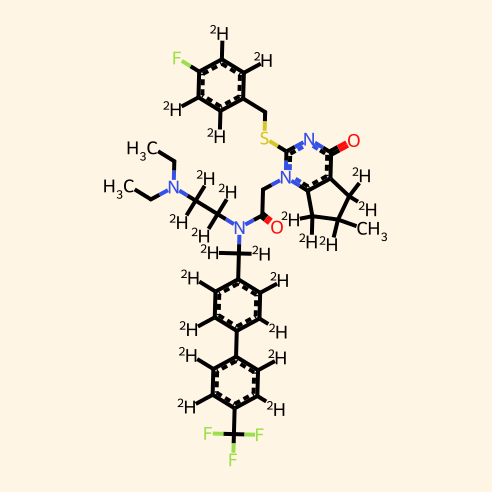 [2H]c1c([2H])c(CSc2nc(=O)c3c(n2CC(=O)N(C([2H])([2H])c2c([2H])c([2H])c(-c4c([2H])c([2H])c(C(F)(F)F)c([2H])c4[2H])c([2H])c2[2H])C([2H])([2H])C([2H])([2H])N(CC)CC)C([2H])([2H])C([2H])(C)C3([2H])[2H])c([2H])c([2H])c1F